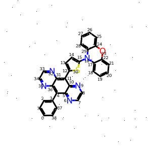 c1ccc(-c2c3nccnc3c(-c3ccc(N4c5ccccc5Oc5ccccc54)s3)c3nccnc23)cc1